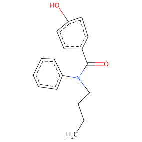 CCCCN(C(=O)c1ccc(O)cc1)c1ccccc1